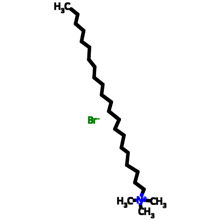 CCCCCCCCCCCCCCCCCCCCCC[N+](C)(C)C.[Br-]